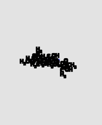 C=C/C=C\[C@H](C)[C@H](OC(N)=O)[C@@H](C)[C@H](O)[C@@H](C)C/C(C)=C\[C@H](C)[C@@H](O)[C@@H](O)/C=C\[C@@H](C)CC1OC(=O)[C@H](C)[C@@H](O)[C@H]1C